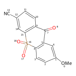 COc1ccc2c(c1)C(=O)c1ccc(C#N)cc1S2(=O)=O